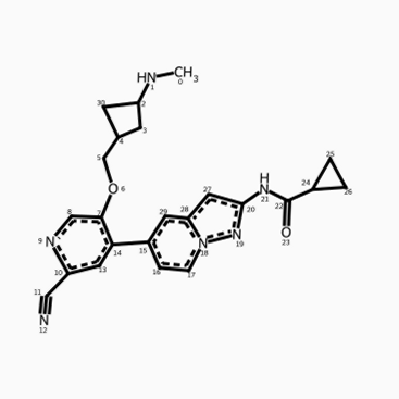 CNC1CC(COc2cnc(C#N)cc2-c2ccn3nc(NC(=O)C4CC4)cc3c2)C1